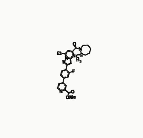 CCc1cc(C(=O)N2CCCCC[C@H]2C)nc2cc(-c3ccc(-c4ccnc(C(=O)OC)c4)cc3F)nn12